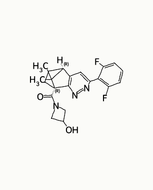 CC1(C)[C@H]2CC[C@]1(C(=O)N1CC(O)C1)c1nnc(-c3c(F)cccc3F)cc12